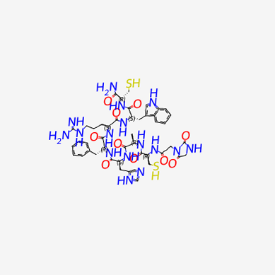 C[C@@H](NC(=O)[C@H](CS)NC(=O)CN1C(=O)CNC1=O)C(=O)N[C@@H](Cc1cnc[nH]1)C(=O)N[C@H](Cc1ccccc1)C(=O)N[C@@H](CCCNC(=N)N)C(=O)N[C@@H](Cc1c[nH]c2ccccc12)C(=O)N[C@@H](CS)C(N)=O